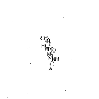 CC(=O)[C@H]1CC[C@@H](Nc2cc(C(=O)NCC(O)CN3CCc4ccccc4C3)ncn2)CC1